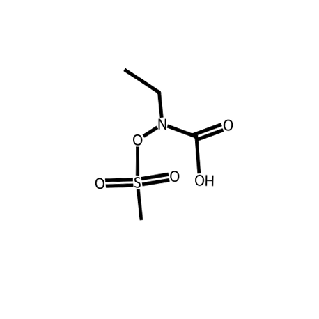 CCN(OS(C)(=O)=O)C(=O)O